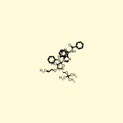 C=CCO[C@H]1[C@@H](O)[C@@](n2cnc3c(NC(=O)c4ccccc4)ncnc32)([SiH](c2ccccc2)c2ccccc2)O[C@@H]1COC(C)(C)C